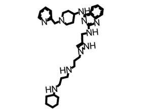 c1ccc(CN2CCC(Nc3nc(NCc4cn(CCCNCCCNC5CCCCC5)[nH]4)nc4ccccc34)CC2)nc1